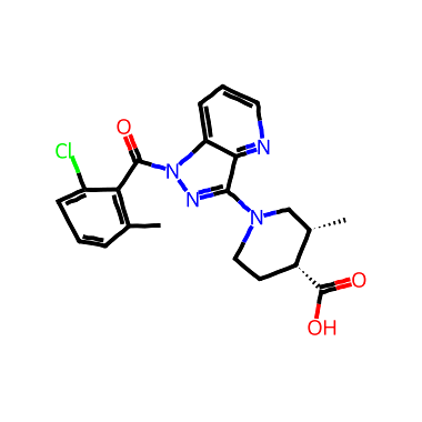 Cc1cccc(Cl)c1C(=O)n1nc(N2CC[C@@H](C(=O)O)[C@@H](C)C2)c2ncccc21